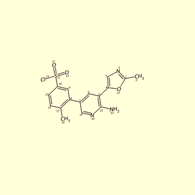 Cc1ncc(-c2cc(-c3cc(S(=O)(=O)Cl)ccc3C)cnc2N)o1